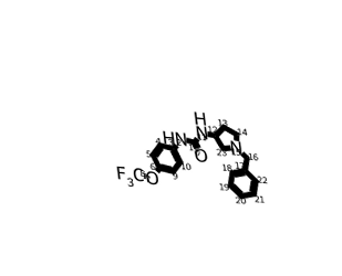 O=C(Nc1ccc(OC(F)(F)F)cc1)NC1CCN(Cc2ccccc2)C1